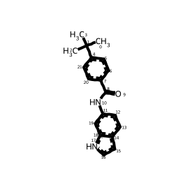 CC(C)(C)c1ccc(C(=O)Nc2ccc3cc[nH]c3c2)cc1